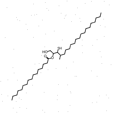 CCCCCCCCCCCCCCCCC(C)C(S)C(CO)OC(=O)CCCCCCCCCCCCCCC